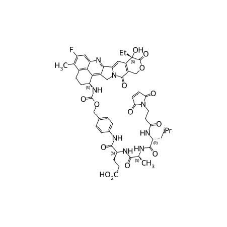 CC[C@@]1(O)C(=O)OCc2c1cc1n(c2=O)Cc2c-1nc1cc(F)c(C)c3c1c2[C@@H](NC(=O)OCc1ccc(NC(=O)[C@H](CCC(=O)O)NC(=O)[C@H](C)NC(=O)[C@@H](CC(C)C)NC(=O)CCN2C(=O)C=CC2=O)cc1)CC3